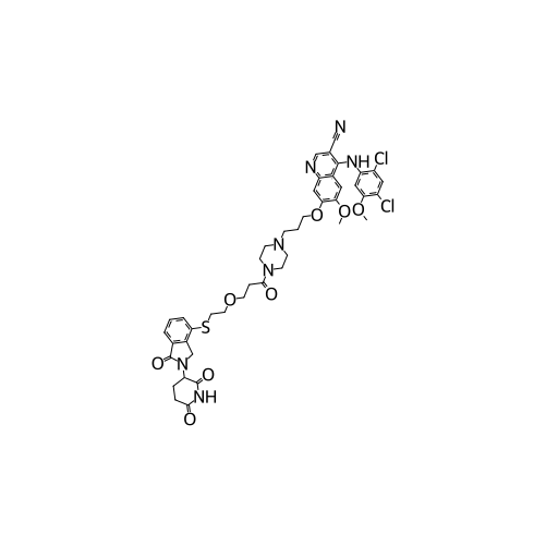 COc1cc(Nc2c(C#N)cnc3cc(OCCCN4CCN(C(=O)CCOCCSc5cccc6c5CN(C5CCC(=O)NC5=O)C6=O)CC4)c(OC)cc23)c(Cl)cc1Cl